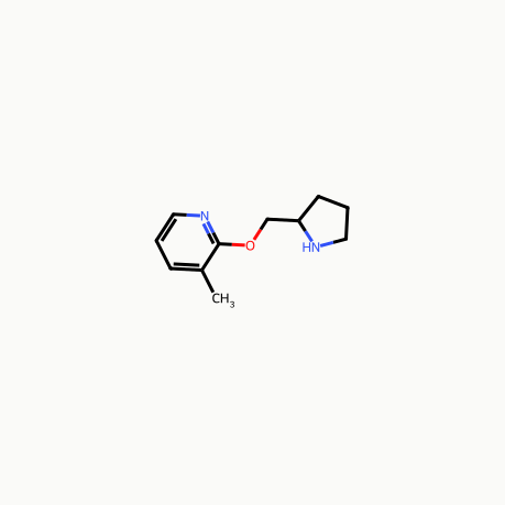 Cc1cccnc1OCC1CCCN1